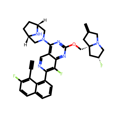 C#Cc1c(F)ccc2cccc(-c3ncc4c(N5C[C@H]6CC[C@@H](C5)N6)nc(OC[C@]56CC(=C)CN5C[C@H](F)C6)nc4c3F)c12